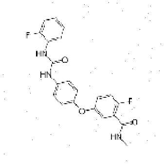 CNC(=O)c1cc(Oc2ccc(NC(=O)Nc3ccccc3F)cc2)ccc1F